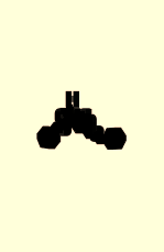 O=COC(COCc1ccccc1)Cc1c[nH]nc1OCc1ccccc1